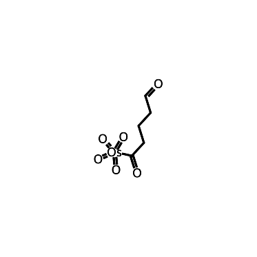 O=CCCC[C](=O)[Os](=[O])(=[O])(=[O])=[O]